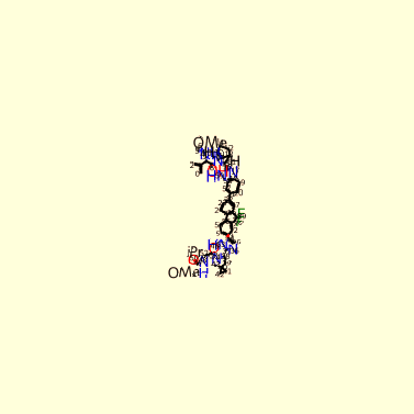 C=C(C)[C@@H](NCOC)C(O)N1[C@@H]2CC[C@@H](C2)[C@H]1c1nc2ccc(-c3ccc4c(c3)C(F)(F)c3cc(-c5cnc([C@@H]6CC7(CC7)CN6C(=O)[C@@H](NC(=O)OC)C(C)C)[nH]5)ccc3-4)cc2[nH]1